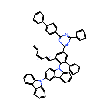 C=C/C=C\C=C\c1cc(-c2nc(-c3ccccc3)nc(-c3ccc(-c4ccccc4)cc3)n2)cc(-c2ccccc2)c1-n1c2ccccc2c2cc(-n3c4ccccc4c4ccccc43)ccc21